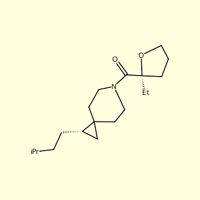 CC[C@@]1(C(=O)N2CCC3(CC2)C[C@@H]3CCC(C)C)CCCO1